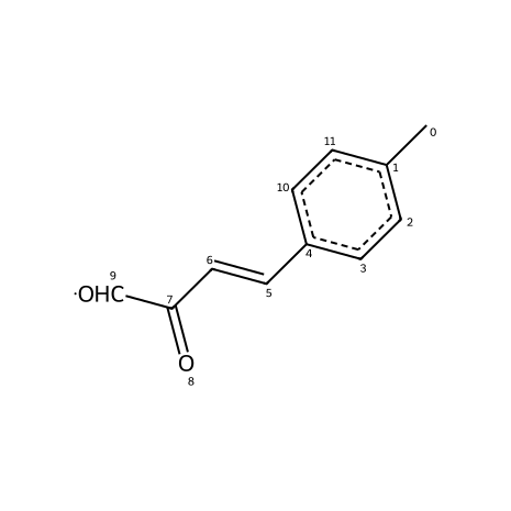 Cc1ccc(C=CC(=O)[C]=O)cc1